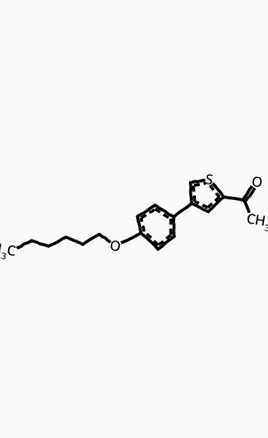 CCCCCCOc1ccc(-c2csc(C(C)=O)c2)cc1